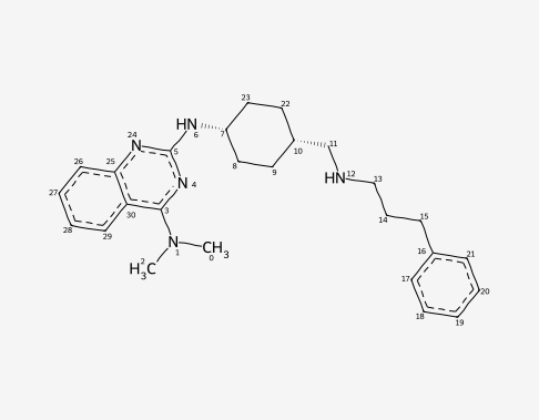 CN(C)c1nc(N[C@H]2CC[C@@H](CNCCCc3ccccc3)CC2)nc2ccccc12